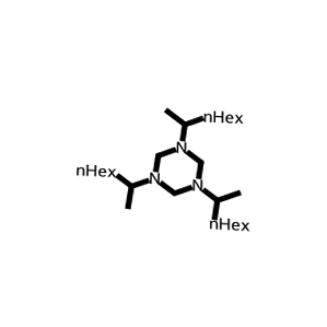 CCCCCCC(C)N1CN(C(C)CCCCCC)CN(C(C)CCCCCC)C1